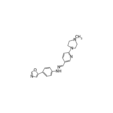 CN1CCN(c2ccc(C=NNc3ccc(-c4cnco4)cc3)cn2)CC1